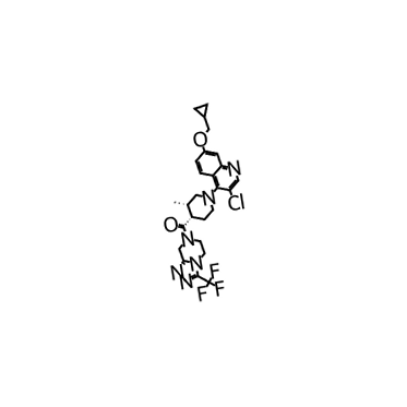 C[C@@H]1CN(c2c(Cl)cnc3cc(OCC4CC4)ccc23)CC[C@@H]1C(=O)N1CCn2c(nnc2C(F)(F)F)C1